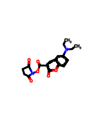 CCN(CC)c1ccc2oc(=O)c(C(=O)ON3C(=O)CCC3=O)cc2c1